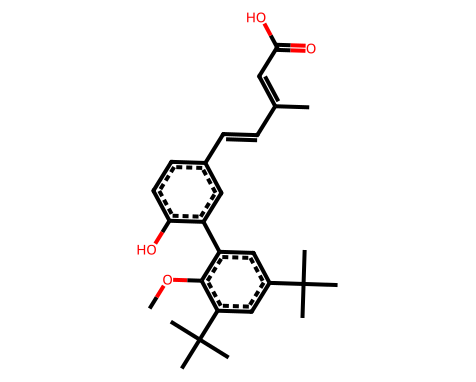 COc1c(-c2cc(C=CC(C)=CC(=O)O)ccc2O)cc(C(C)(C)C)cc1C(C)(C)C